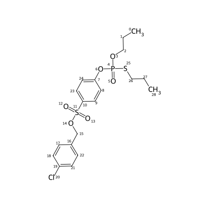 CCCOP(=O)(Oc1ccc(S(=O)(=O)OCc2ccc(Cl)cc2)cc1)SCCC